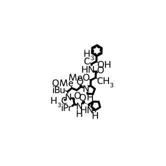 CC[C@H](C)[C@@H]([C@@H](CC(=O)N1CCCC1[C@H](OC)[C@@H](C)C(=O)N[C@H](C)[C@@H](O)c1ccccc1)OC)N(C)C(=O)C(NC(=O)[C@H]1N[C@@H]2CC[C@H]1C2)C(C)C